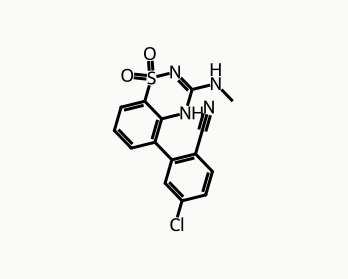 CNC1=NS(=O)(=O)c2cccc(-c3cc(Cl)ccc3C#N)c2N1